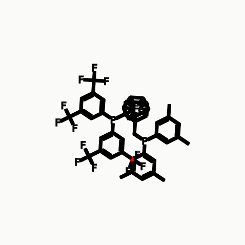 Cc1cc(C)cc(P(C[C]23[CH]4[CH]5[CH]6[C]2(P(c2cc(C(F)(F)F)cc(C(F)(F)F)c2)c2cc(C(F)(F)F)cc(C(F)(F)F)c2)[Fe]54632789[CH]3[CH]2[CH]7[CH]8[CH]39)c2cc(C)cc(C)c2)c1